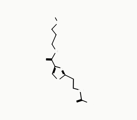 CSCCCNC(=O)c1csc(CCNC(C)=O)n1